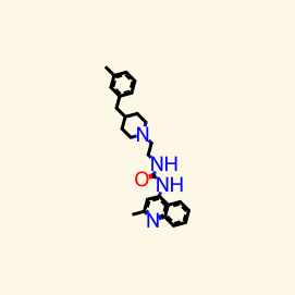 Cc1cccc(CC2CCN(CCNC(=O)Nc3cc(C)nc4ccccc34)CC2)c1